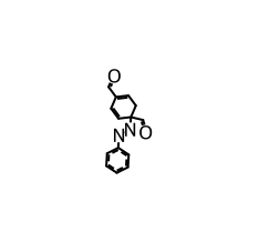 O=CC1=CCC(C=O)(N=Nc2ccccc2)C=C1